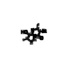 CCc1c(C)nc2c(O)c(C)ccn2c1=O